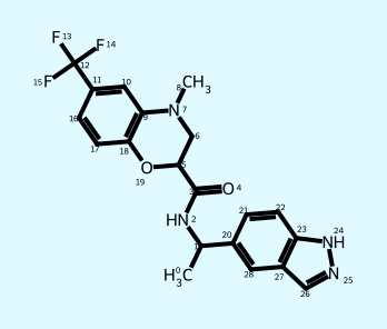 CC(NC(=O)C1CN(C)c2cc(C(F)(F)F)ccc2O1)c1ccc2[nH]ncc2c1